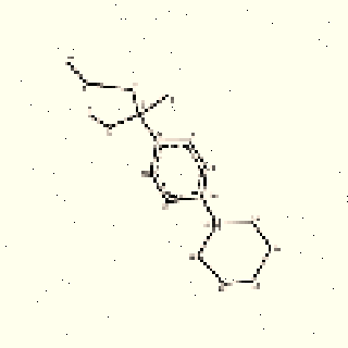 CCCC(C)(CC)c1ccc(N2CCCCC2)cc1